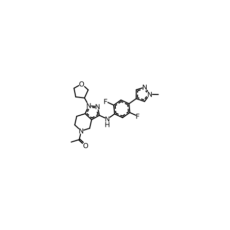 CC(=O)N1CCc2c(c(Nc3cc(F)c(-c4cnn(C)c4)cc3F)nn2C2CCOC2)C1